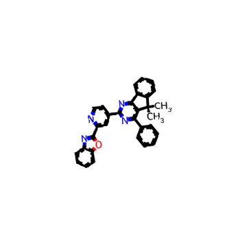 CC1(C)c2ccccc2-c2nc(-c3ccnc(-c4nc5ccccc5o4)c3)nc(-c3ccccc3)c21